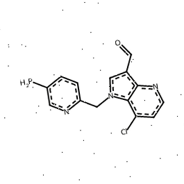 O=Cc1cn(Cc2ccc(P)cn2)c2c(Cl)ccnc12